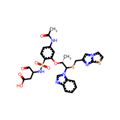 CC(=O)Nc1ccc(S(=O)(=O)NC(C=O)CC(=O)O)c(O[C@H](C)C(SCc2cn3ccsc3n2)n2cnc3ccccc32)c1